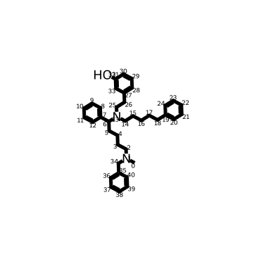 CN(CCCCC(c1ccccc1)N(CCCCCc1ccccc1)CCc1cccc(O)c1)Cc1ccccc1